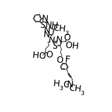 Cc1cc(N(CCCC(=O)O)c2nc(C(=O)O)c(CCCOc3ccc(C#CCN(C)C)cc3F)s2)nnc1Nc1nc2ccccc2s1